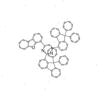 c1ccc(C2(c3ccccc3)c3ccccc3-c3c(-c4cc(-c5cccc6c5oc5ccccc56)nc(-c5cccc6c5C(c5ccccc5)(c5ccccc5)c5ccccc5-6)n4)cccc32)cc1